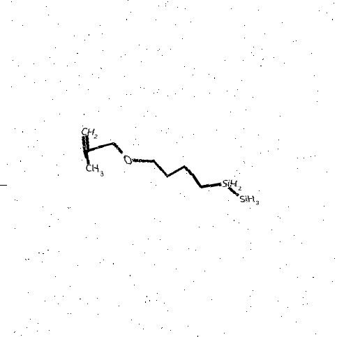 C=C(C)COCCCC[SiH2][SiH3]